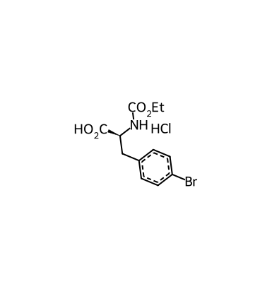 CCOC(=O)N[C@@H](Cc1ccc(Br)cc1)C(=O)O.Cl